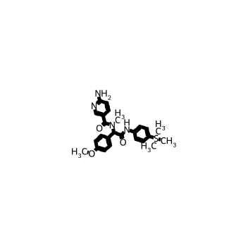 COc1ccc(C(C(=O)Nc2ccc(S(C)(C)C)cc2)N(C)C(=O)c2ccc(N)nc2)cc1